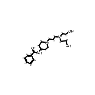 O=C(NC1CCN(CCCN(CCO)CCO)CC1)c1ccccc1